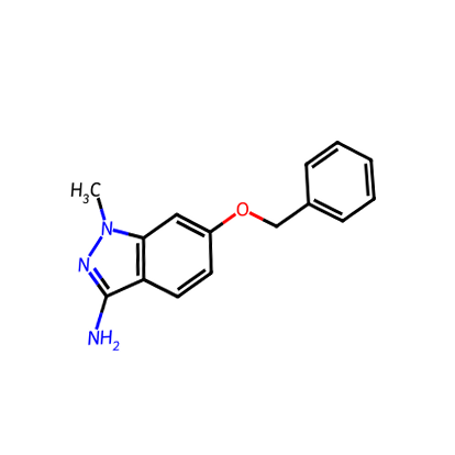 Cn1nc(N)c2ccc(OCc3ccccc3)cc21